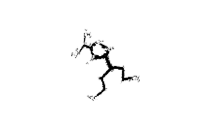 CCCC(CCC)c1noc([C@H](C)N)n1